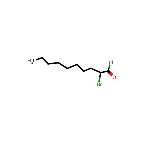 CCCCCCCCC(Br)C(=O)Cl